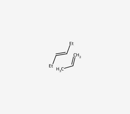 C=CC.CC/C=C/CC